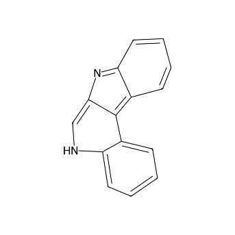 c1ccc2c3c4ccccc4[nH]cc-3nc2c1